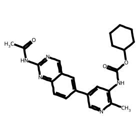 CC(=O)Nc1ncc2cc(-c3cnc(C)c(NC(=O)OC4CCCCC4)c3)ccc2n1